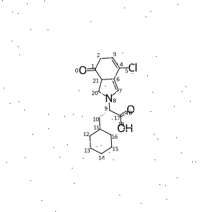 O=C1CC=C(Cl)C2=CN([C@@H](CC3CCCCC3)C(=O)O)CC12